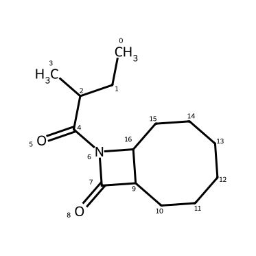 CCC(C)C(=O)N1C(=O)C2CCCCCCC21